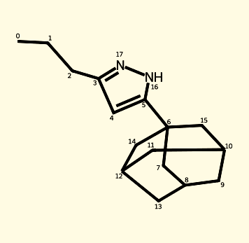 CCCc1cc(C23CC4CC(CC(C4)C2)C3)[nH]n1